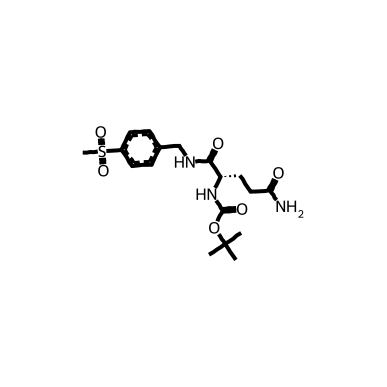 CC(C)(C)OC(=O)N[C@@H](CCC(N)=O)C(=O)NCc1ccc(S(C)(=O)=O)cc1